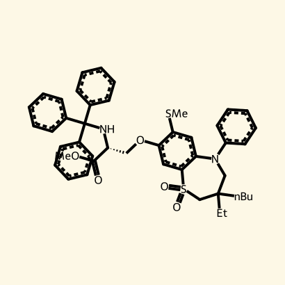 CCCCC1(CC)CN(c2ccccc2)c2cc(SC)c(OC[C@@H](NC(c3ccccc3)(c3ccccc3)c3ccccc3)C(=O)OC)cc2S(=O)(=O)C1